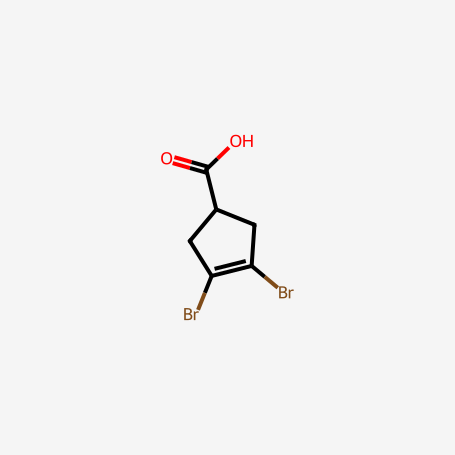 O=C(O)C1CC(Br)=C(Br)C1